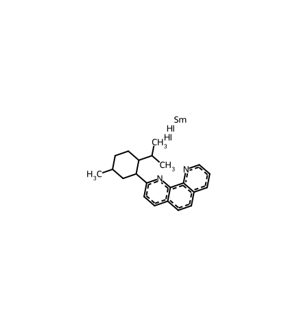 CC1CCC(C(C)C)C(c2ccc3ccc4cccnc4c3n2)C1.I.I.[Sm]